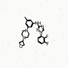 Cc1cc(Nc2ncn(-c3cccc(F)c3F)n2)cc(N2CCN(C3COC3)CC2)c1